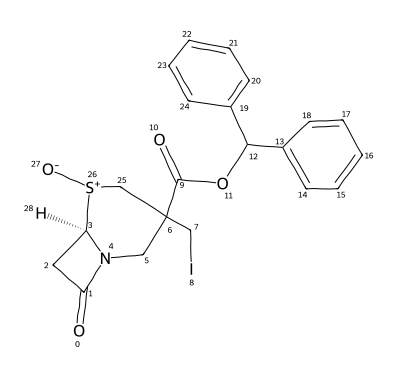 O=C1C[C@@H]2N1CC(CI)(C(=O)OC(c1ccccc1)c1ccccc1)C[S+]2[O-]